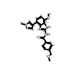 COCc1ccc(C(=O)Nc2nc3c(-c4cnn(C)c4)ccc(OC)c3[nH]2)cc1